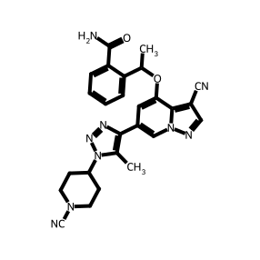 Cc1c(-c2cc(OC(C)c3ccccc3C(N)=O)c3c(C#N)cnn3c2)nnn1C1CCN(C#N)CC1